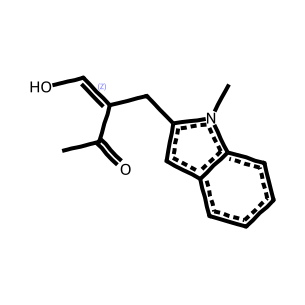 CC(=O)/C(=C\O)Cc1cc2ccccc2n1C